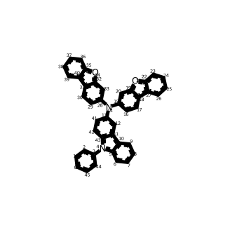 c1ccc(-n2c3ccccc3c3cc(N(c4ccc5c(c4)oc4ccccc45)c4ccc5c(c4)oc4ccccc45)ccc32)cc1